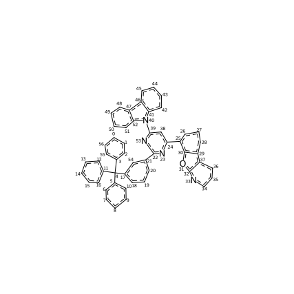 c1ccc(C(c2ccccc2)(c2ccccc2)c2cccc(-c3nc(-c4cccc5c4oc4ncccc45)cc(-n4c5ccccc5c5ccccc54)n3)c2)cc1